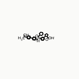 [2H]C(c1ccc(-c2ccc(N(C)C)cc2)cc1)N(C(=O)C1CCCCC1)c1cccc(C2CCCC2C(=O)O)c1